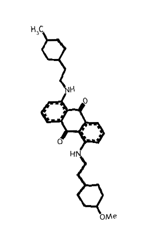 COC1CCC(CCNc2cccc3c2C(=O)c2cccc(NCCC4CCC(C)CC4)c2C3=O)CC1